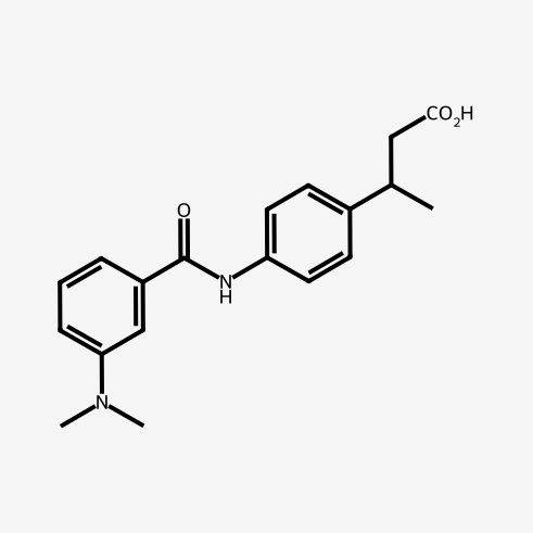 CC(CC(=O)O)c1ccc(NC(=O)c2cccc(N(C)C)c2)cc1